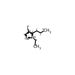 CCCc1c(I)[c]nn1CC